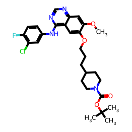 COc1cc2ncnc(Nc3ccc(F)c(Cl)c3)c2cc1OCCCC1CCN(C(=O)OC(C)(C)C)CC1